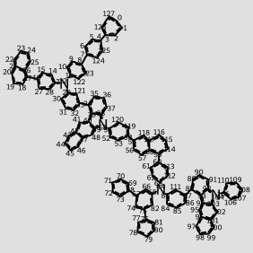 c1ccc(-c2ccc(-c3ccc(N(c4ccc(-c5cccc6ccccc56)cc4)c4cccc(-c5cccc6c5c5cc7ccccc7cc5n6-c5ccc(-c6ccc7c(-c8ccc(N(c9cc(-c%10ccccc%10)cc(-c%10ccccc%10)c9)c9cccc(-c%10cccc%11c%10c%10cc%12ccccc%12cc%10n%11-c%10ccccc%10)c9)cc8)cccc7c6)cc5)c4)cc3)cc2)cc1